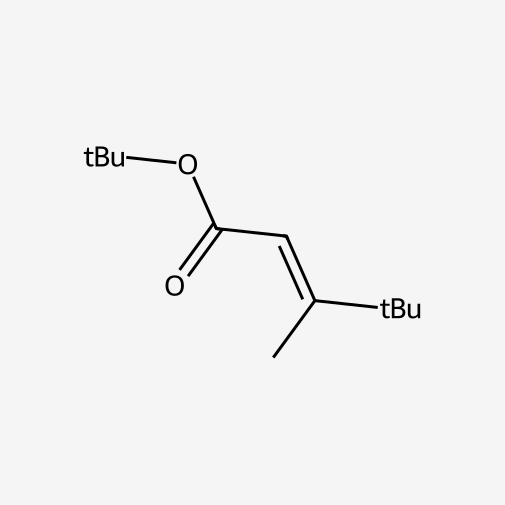 C/C(=C\C(=O)OC(C)(C)C)C(C)(C)C